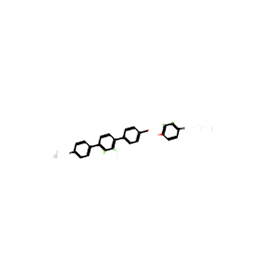 CCCCCc1ccc(OCc2ccc(-c3ccc(-c4ccc(CCC)cc4)c(F)c3F)cc2)c(F)c1F